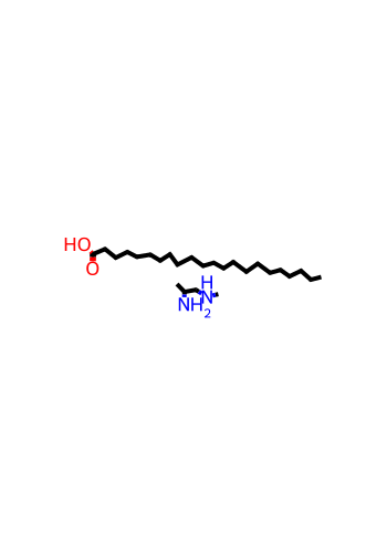 CCCCCCCCCCCCCCCCCCCCCC(=O)O.CNCC(C)N